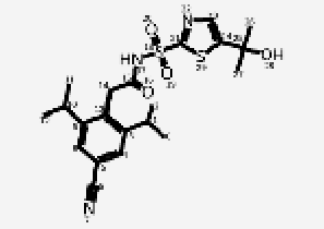 CC(C)c1cc(C#N)cc(C(C)C)c1CC(=O)NS(=O)(=O)c1ncc(C(C)(C)O)s1